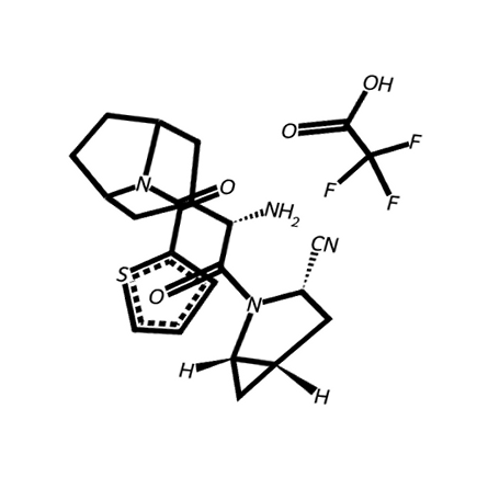 N#C[C@@H]1C[C@@H]2C[C@@H]2N1C(=O)[C@@H](N)C1CC2CCC(C1)N2C(=O)c1cccs1.O=C(O)C(F)(F)F